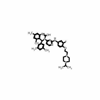 Cc1cc(C)cc(C(c2c(C)cc(C)cc2C)N(C(=O)O)c2ccnc(Nc3ccc(OCCN4CCN(C(C)C)CC4)c(F)c3)n2)c1